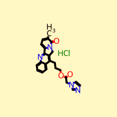 Cc1ccc2n(c1=O)Cc1c-2nc2ccccc2c1CCCOC(=O)Cn1ccnc1.Cl